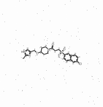 Cc1nc(COC2CCN(C(=O)CCS(=O)(=O)c3ccc4cc(Cl)ccc4c3)CC2)c[nH]1